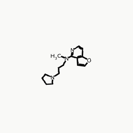 CN(CCCN1CCCC1)c1nccc2occc12